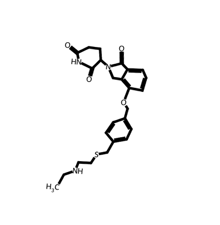 CCNCCSCc1ccc(COc2cccc3c2CN(C2CCC(=O)NC2=O)C3=O)cc1